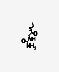 CCSC(=O)CNC(N)=O